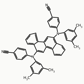 Cc1cc(C)cc(N(c2ccc(C#N)cc2)c2cc3c4ccccc4c(N(c4ccc(C#N)cc4)c4cc(C)cc(C)c4)cc3c3ccccc23)c1